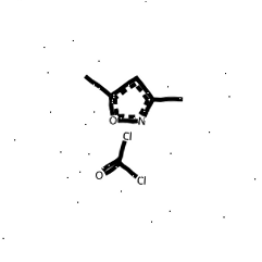 Cc1cc(C)on1.O=C(Cl)Cl